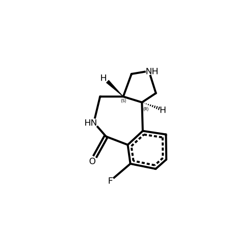 O=C1NC[C@@H]2CNC[C@H]2c2cccc(F)c21